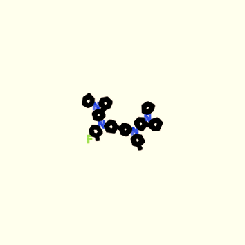 Cc1ccc(N(c2ccc(-c3ccc(N(C4=CC=C(F)C(C)C4)c4ccc5c(c4)c4ccccc4n5C4=CC=CCC4)cc3)cc2)c2ccc3c(c2)c2ccccc2n3-c2ccccc2)cc1